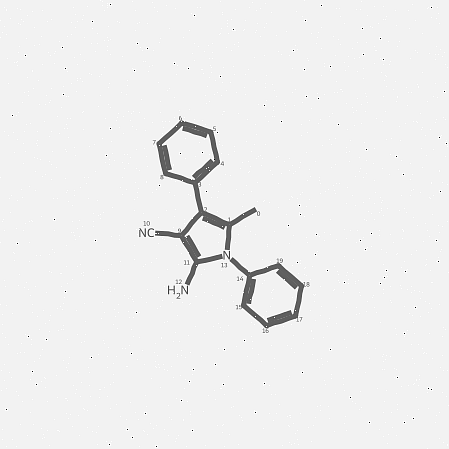 Cc1c(-c2ccccc2)c(C#N)c(N)n1-c1ccccc1